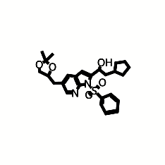 CC1(C)OCC(Cc2cnc3c(c2)cc(C(O)CC2CCCC2)n3S(=O)(=O)c2ccccc2)O1